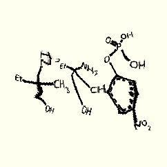 CCC(C)(N)CO.CCC(C)(N)CO.O=[N+]([O-])c1ccc(OP(=O)(O)O)cc1